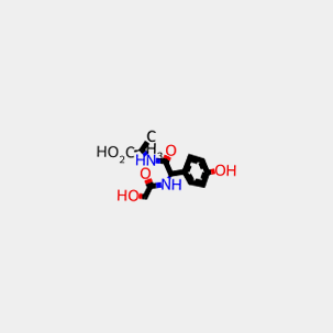 C[C@H](NC(=O)[C@H](NC(=O)CO)c1ccc(O)cc1)C(=O)O